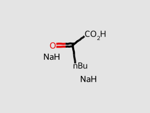 CCCCC(=O)C(=O)O.[NaH].[NaH]